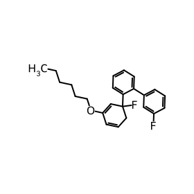 CCCCCCOC1=CC(F)(c2ccccc2-c2cccc(F)c2)CC=C1